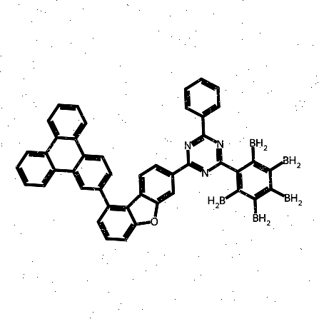 Bc1c(B)c(B)c(-c2nc(-c3ccccc3)nc(-c3ccc4c(c3)oc3cccc(-c5ccc6c7ccccc7c7ccccc7c6c5)c34)n2)c(B)c1B